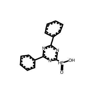 O=[PH](O)c1nc(-c2ccccc2)nc(-c2ccccc2)n1